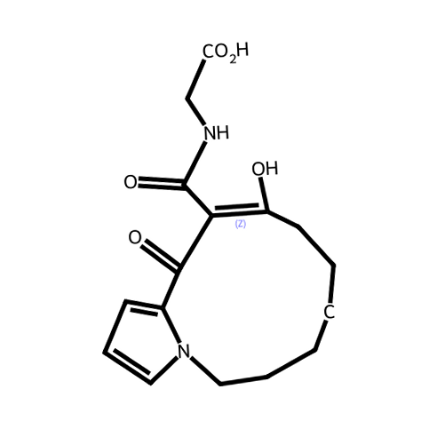 O=C(O)CNC(=O)/C1=C(\O)CCCCCCn2cccc2C1=O